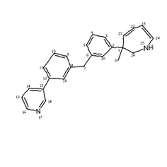 CC1(c2cccc(Cc3cccc(-c4cccnc4)c3)c2)C=CC=CNC1